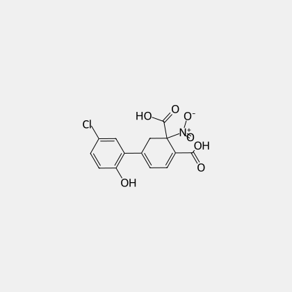 O=C(O)C1=CC=C(c2cc(Cl)ccc2O)CC1(C(=O)O)[N+](=O)[O-]